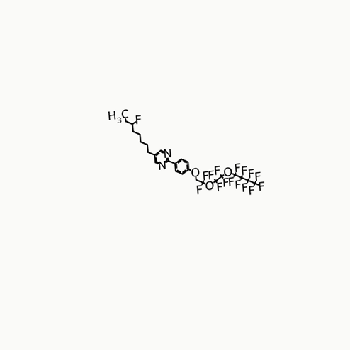 CCC(F)CCCCCc1cnc(-c2ccc(OCC(F)(F)OC(F)(F)C(F)(F)OC(F)(F)C(F)(F)C(F)(F)C(F)(F)F)cc2)nc1